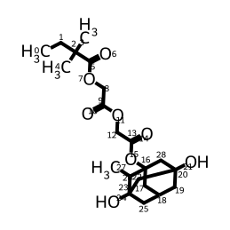 CCC(C)(C)C(=O)OCC(=O)OCC(=O)OC12CC3CC(O)(CC(O)(C3)C1C)C2